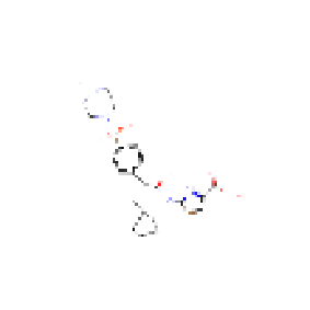 CN1CCN(S(=O)(=O)c2ccc([C@@H](CC3CCCC3)C(=O)Nc3nc(C(=O)O)cs3)cc2)CC1